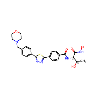 C[C@@H](O)[C@H](NC(=O)c1ccc(-c2nnc(-c3ccc(CN4CCOCC4)cc3)s2)cc1)C(=O)NO